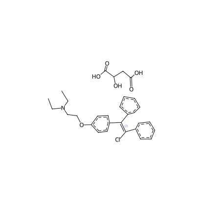 CCN(CC)CCOc1ccc(/C(=C(\Cl)c2ccccc2)c2ccccc2)cc1.O=C(O)CC(O)C(=O)O